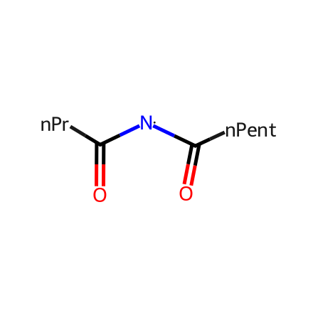 CCCCCC(=O)[N]C(=O)CCC